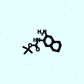 CC(C)(C)OC(=O)Nc1cc2ccccc2cc1N